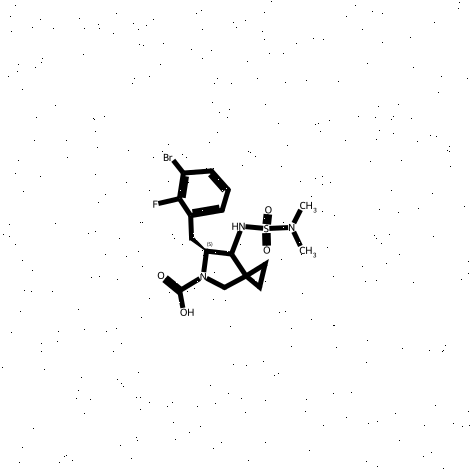 CN(C)S(=O)(=O)NC1[C@H](Cc2cccc(Br)c2F)N(C(=O)O)CC12CC2